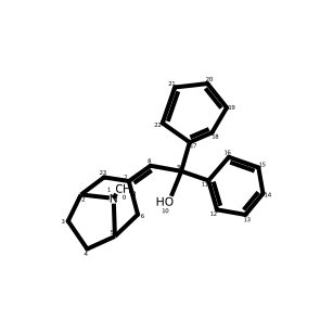 CN1C2CCC1CC(=CC(O)(c1ccccc1)c1ccccc1)C2